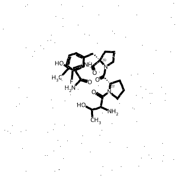 CC(O)C(N)C(=O)N1CCC[C@H]1C(=O)N1CCC[C@]1(Cc1cccc(F)c1)C(=O)NC(C(N)=O)C(C)O